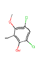 COc1c(Cl)cc(Cl)c(O)c1C